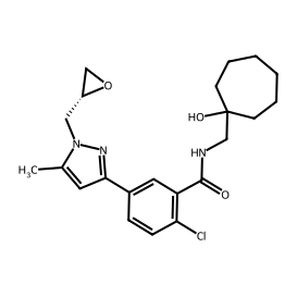 Cc1cc(-c2ccc(Cl)c(C(=O)NCC3(O)CCCCCC3)c2)nn1C[C@@H]1CO1